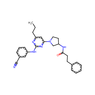 CCCc1cc(N2CCC(NC(=O)CCc3ccccc3)C2)nc(Nc2cccc(C#N)c2)n1